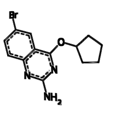 Nc1nc(OC2CCCC2)c2cc(Br)ccc2n1